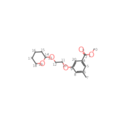 COC(=O)c1cc(C)cc(OCCOC2CCCCO2)c1